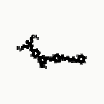 CCOP(=O)(CCN1CCN(c2nc(N)nc(NCC3CCC(CNCCCNC4CCCCC4)CC3)n2)CC1)OCC